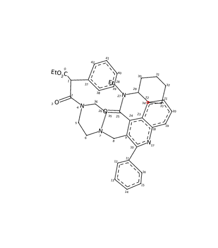 CCOC(=O)C(C(=O)N1CCN(Cc2c(-c3ccccc3)nc3ccccc3c2C(=O)N(CC)C2CCCCC2)CC1)c1ccccc1